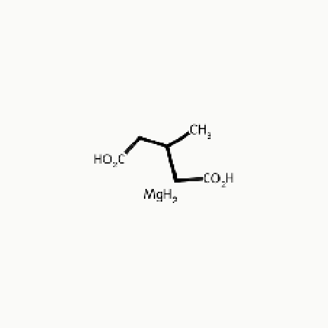 CC(CC(=O)O)CC(=O)O.[MgH2]